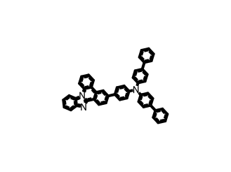 c1ccc(-c2ccc(N(c3ccc(-c4ccccc4)cc3)c3ccc(-c4ccc5c(c4)c4ccccc4n4c6ccccc6nc54)cc3)cc2)cc1